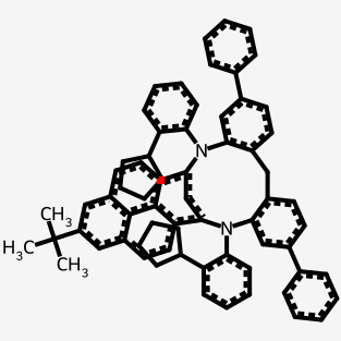 CC(C)(C)c1cc2ccc3c4cc(c5ccc(c1)c2c35)N(c1ccccc1C1CCCC1)c1cc(-c2ccccc2)ccc1Cc1ccc(-c2ccccc2)cc1N4c1ccccc1C1CCCC1